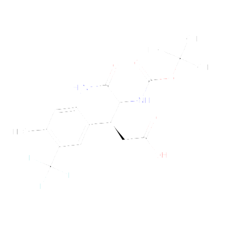 Cc1ccc([C@H](CC(=O)O)C(NC(=O)OC(C)(C)C)C(N)=O)cc1C(F)(F)F